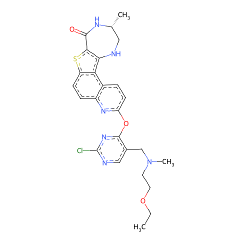 CCOCCN(C)Cc1cnc(Cl)nc1Oc1ccc2c(ccc3sc4c(c32)NC[C@@H](C)NC4=O)n1